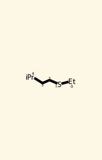 [CH2]CSCCC(C)C